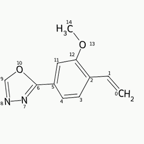 C=Cc1ccc(-c2nnco2)cc1OC